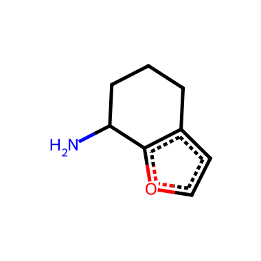 NC1CCCc2ccoc21